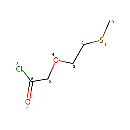 CSCCOCC(=O)Cl